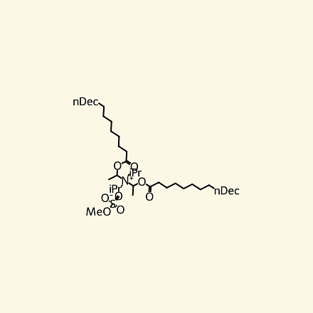 CCCCCCCCCCCCCCCCCC(=O)OC(C)[N+](C(C)C)(C(C)C)C(C)OC(=O)CCCCCCCCCCCCCCCCC.COS(=O)(=O)[O-]